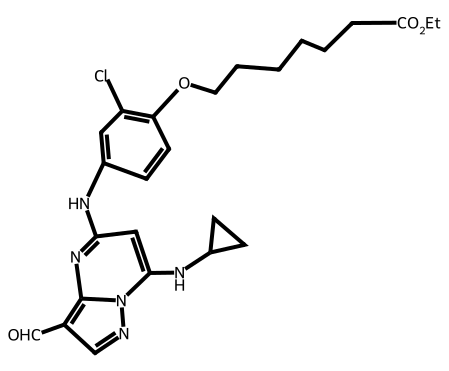 CCOC(=O)CCCCCCOc1ccc(Nc2cc(NC3CC3)n3ncc(C=O)c3n2)cc1Cl